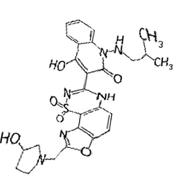 CC(C)CNn1c(=O)c(C2=NS(=O)(=O)c3c(ccc4oc(CN5CCC(O)C5)nc34)N2)c(O)c2ccccc21